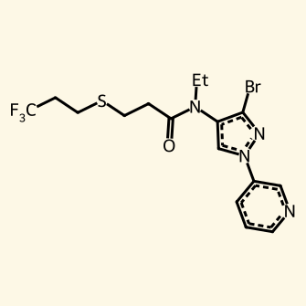 CCN(C(=O)CCSCCC(F)(F)F)c1cn(-c2cccnc2)nc1Br